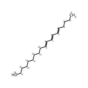 CCCCC=CC=CC=CCCCCCCCCO